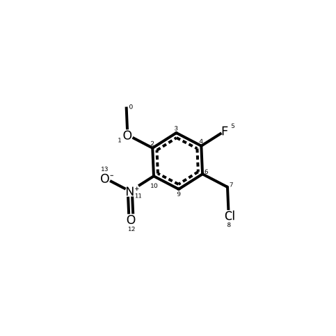 COc1cc(F)c(CCl)cc1[N+](=O)[O-]